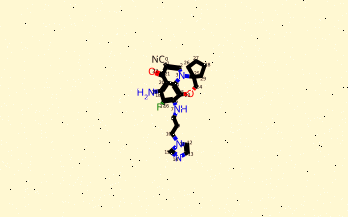 N#Cc1cn2c3c(c(NCCCn4ccnc4)c(F)c(N)c3c1=O)OCC21CCCC1